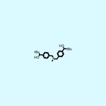 CN(Cc1ccc(C(O)C(C)(C)C)cc1)Cc1ccc(C(O)C(C)(C)C)cc1